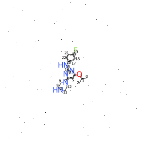 CC(C)Oc1cc(N2CCNCC2)nc(Nc2ccc(F)cc2)n1